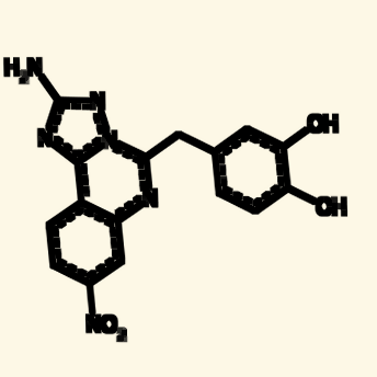 Nc1nc2c3ccc([N+](=O)[O-])cc3nc(Cc3ccc(O)c(O)c3)n2n1